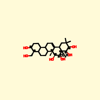 CC1(C)CC2C3=CCC4C5CC[C@H](O)[C@H](CO)C5CCC4[C@]3(C)[C@@H](O)[C@@H](O)[C@@]2(C(=O)O)[C@@H](O)[C@@H]1O